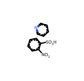 O=[N+]([O-])c1ccccc1S(=O)(=O)O.c1ccncc1